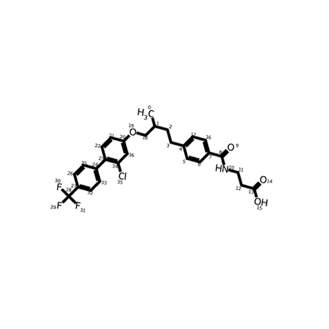 CC(CCc1ccc(C(=O)NCCC(=O)O)cc1)COc1ccc(-c2ccc(C(F)(F)F)cc2)c(Cl)c1